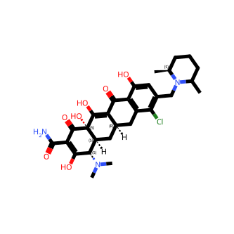 CC1CCC[C@H](C)N1Cc1cc(O)c2c(c1Cl)C[C@H]1C[C@H]3[C@H](N(C)C)C(O)=C(C(N)=O)C(=O)[C@@]3(O)C(O)=C1C2=O